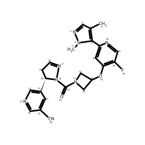 Cc1cnn(C)c1-c1cc(OC2CN(C(=O)N3N=CC[C@H]3c3cncc(C#N)c3)C2)c(F)cn1